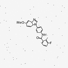 COC1=CC2N=CN(c3ccc(NC(=O)c4cccc(F)c4C)cc3)C2C=C1